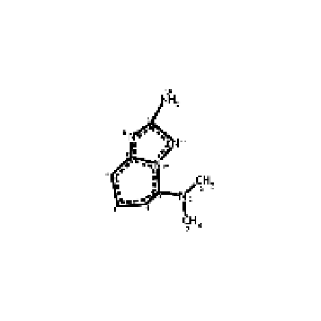 CN(C)c1cccc2nc(N)nn12